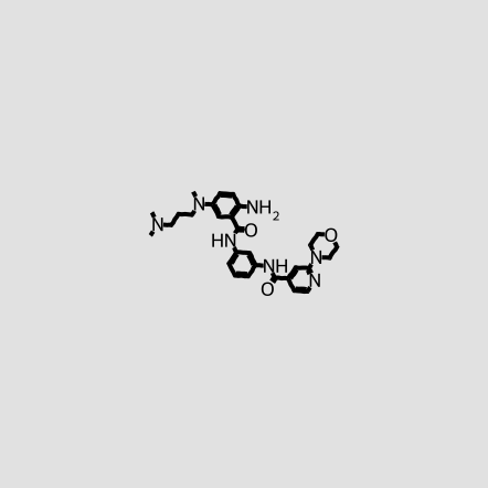 CN(C)CCCN(C)c1ccc(N)c(C(=O)Nc2cccc(NC(=O)c3ccnc(N4CCOCC4)c3)c2)c1